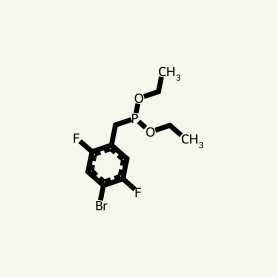 CCOP(Cc1cc(F)c(Br)cc1F)OCC